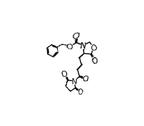 O=C1OCN(C(=O)OCc2ccccc2)C1CCCC(=O)N1C(=O)CCC1=O